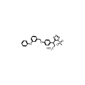 CS(=O)(=O)n1nnnc1C(CC(=O)O)c1ccc(OCc2cccc(Oc3ccccc3)c2)cc1